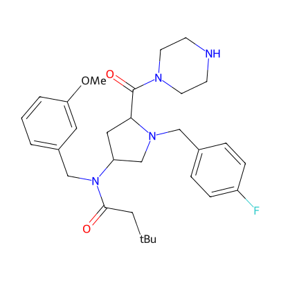 COc1cccc(CN(C(=O)CC(C)(C)C)C2CC(C(=O)N3CCNCC3)N(Cc3ccc(F)cc3)C2)c1